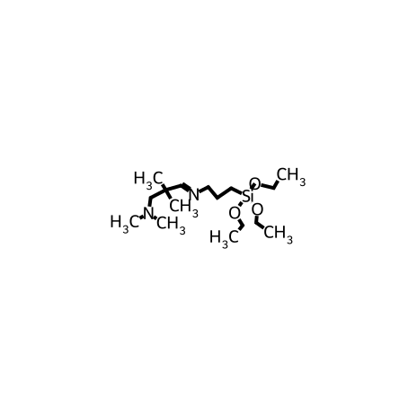 CCO[Si](CCC/N=C/C(C)(C)CN(C)C)(OCC)OCC